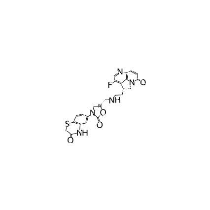 O=C1CSc2ccc(N3C[C@H](CNCCC4Cn5c(=O)ccc6ncc(F)c4c65)OC3=O)cc2N1